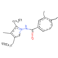 CCOC(=O)c1cn(NC(=O)c2ccc(C)c(C)c2)c(C(=O)OCC)c1C